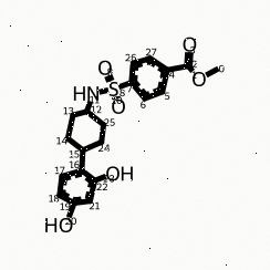 COC(=O)c1ccc(S(=O)(=O)NC2CCC(c3ccc(O)cc3O)CC2)cc1